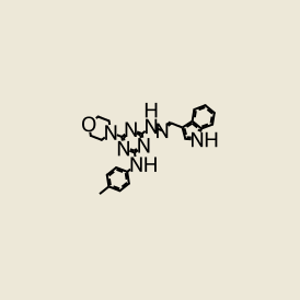 Cc1ccc(Nc2nc(N/N=C/c3c[nH]c4ccccc34)nc(N3CCOCC3)n2)cc1